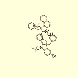 CN1/C(=C/C=C/C2=[N+](C)c3ccc4ccccc4c3C2(C)Cc2ccccc2)C(Cc2ccccc2)(Cc2ccccc2)c2cc(Br)ccc21